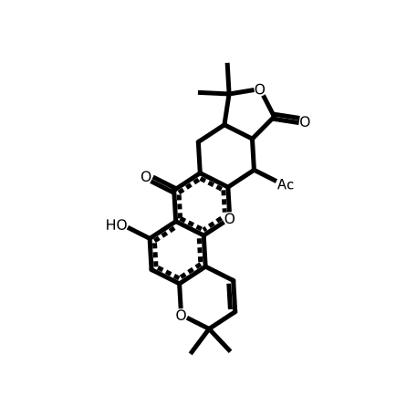 CC(=O)C1c2oc3c4c(cc(O)c3c(=O)c2CC2C1C(=O)OC2(C)C)OC(C)(C)C=C4